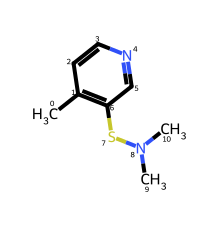 Cc1ccncc1SN(C)C